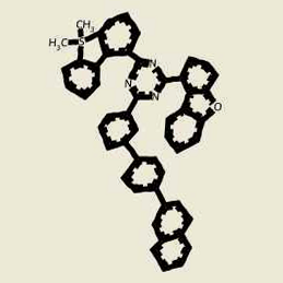 CS1(C)c2ccccc2-c2c(-c3nc(-c4cccc(-c5ccc(-c6ccc7ccccc7c6)cc5)c4)nc(-c4cccc5oc6ccccc6c45)n3)cccc21